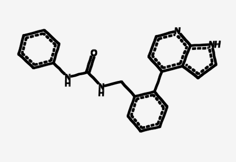 O=C(NCc1ccccc1-c1ccnc2[nH]ccc12)Nc1ccccc1